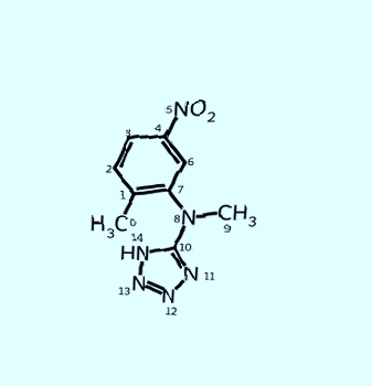 Cc1ccc([N+](=O)[O-])cc1N(C)c1nnn[nH]1